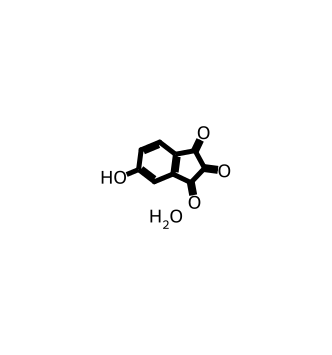 O.O=c1c(=O)c2ccc(O)cc2c1=O